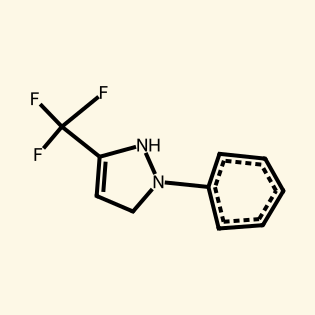 FC(F)(F)C1=CCN(c2ccccc2)N1